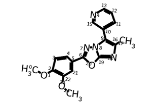 COc1ccc(-c2nn3c(-c4cccnc4)c(C)nc3o2)cc1OC